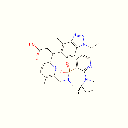 CCn1nnc2c(C)c([C@H](CC(=O)O)c3ccc(C)c(CN4C[C@H]5CCCN5c5ncccc5S4(=O)=O)n3)ccc21